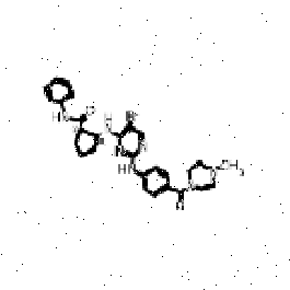 CN1CCN(C(=O)c2ccc(Nc3ncc(Br)c(N[C@@H]4CCC[C@@H]4C(=O)Nc4ccccc4)n3)cc2)CC1